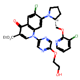 CCOC(=O)c1cn(-c2cnc(OCCO)cn2)c2cc(N3CCC[C@@H]3COc3ncccc3Cl)c(Cl)cc2c1=O